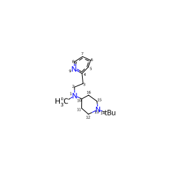 CN(CCc1ccccn1)C1CCN(C(C)(C)C)CC1